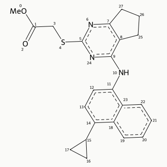 COC(=O)CSc1nc2c(c(Nc3ccc(C4CC4)c4ccccc34)n1)CCC2